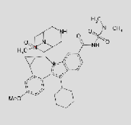 COc1ccc2c(c1)C1CC1(C(=O)N1C3CNCC1CN(C)C3)Cn1c-2c(C2CCCCC2)c2ccc(C(=O)NS(=O)(=O)N(C)C)cc21